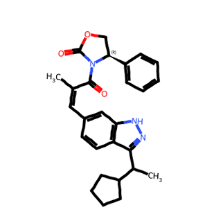 CC(=Cc1ccc2c(C(C)C3CCCC3)n[nH]c2c1)C(=O)N1C(=O)OC[C@H]1c1ccccc1